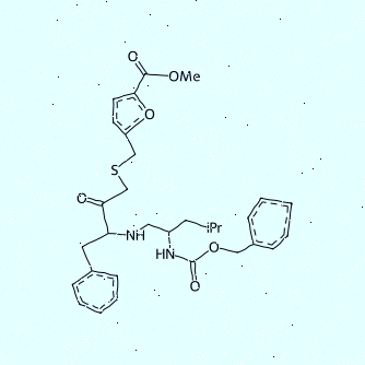 COC(=O)c1ccc(CSCC(=O)C(Cc2ccccc2)NCC(CC(C)C)NC(=O)OCc2ccccc2)o1